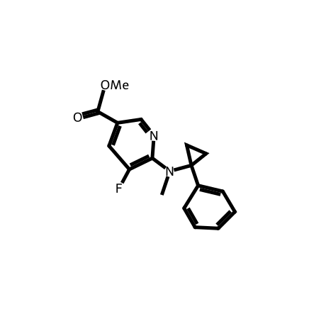 COC(=O)c1cnc(N(C)C2(c3ccccc3)CC2)c(F)c1